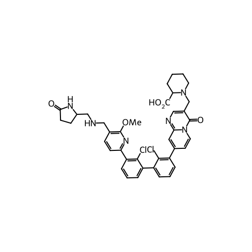 COc1nc(-c2cccc(-c3cccc(-c4ccn5c(=O)c(CN6CCCCC6C(=O)O)cnc5c4)c3Cl)c2Cl)ccc1CNCC1CCC(=O)N1